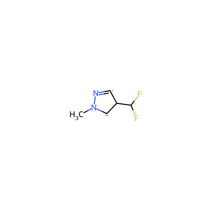 CN1[C]C(C(F)F)[C]=N1